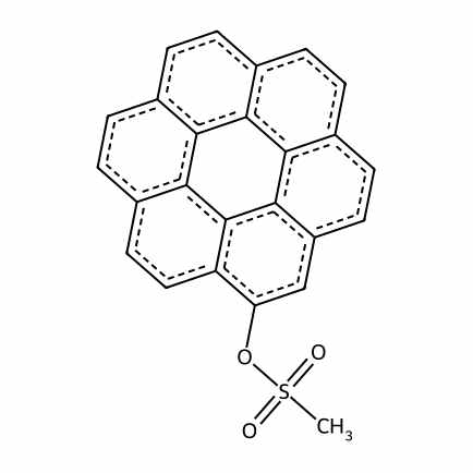 CS(=O)(=O)Oc1cc2ccc3ccc4ccc5ccc6ccc1c1c6c5c4c3c21